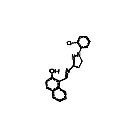 Oc1ccc2ccccc2c1/C=N/C1=NN(c2ccccc2Cl)CC1